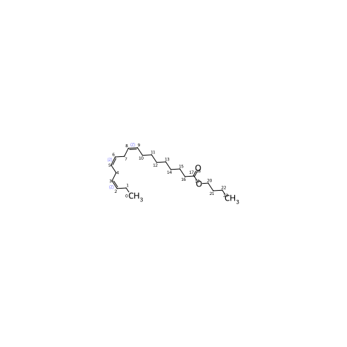 CC/C=C\C/C=C\C/C=C\CCCCCCCC(=O)OCCCC